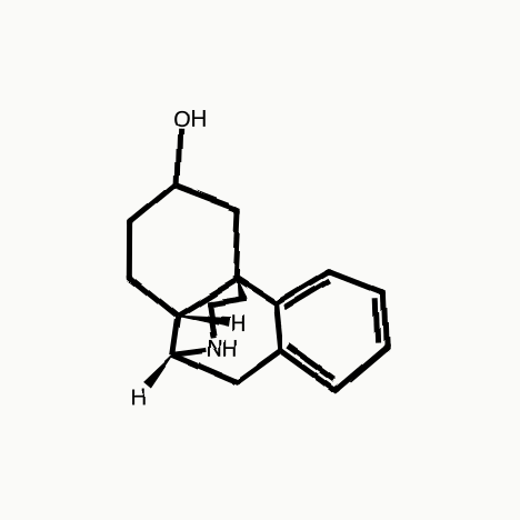 OC1CC[C@H]2[C@H]3Cc4ccccc4[C@@]2(CCN3)C1